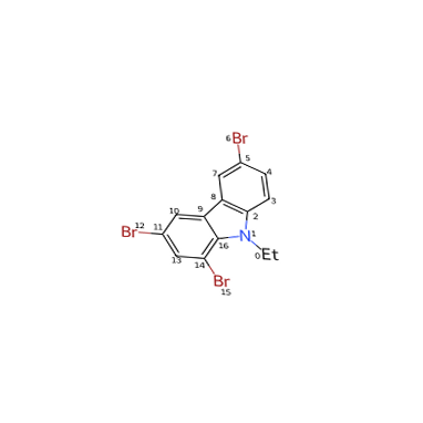 CCn1c2ccc(Br)cc2c2cc(Br)cc(Br)c21